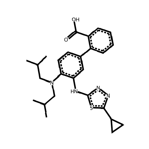 CC(C)CN(CC(C)C)c1ccc(-c2ccccc2C(=O)O)cc1Nc1nnc(C2CC2)s1